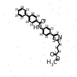 COC(=O)CCCc1ncc(-c2ccc(NC(=O)c3ccc(-c4ccccc4)cc3)cc2)s1